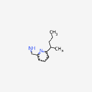 CCCC(C)c1cccc(C=N)n1